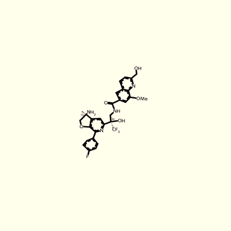 COc1cc(C(=O)NC[C@@](O)(c2cc3c(c(-c4ccc(F)cc4)n2)OC[C@@]3(C)N)C(F)(F)F)cc2ccc(CO)nc12